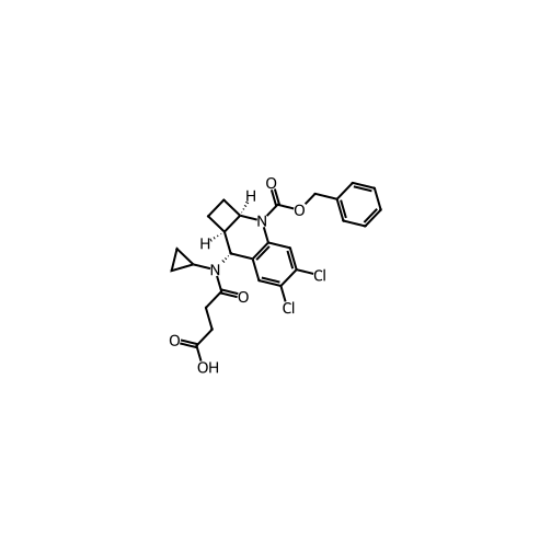 O=C(O)CCC(=O)N(C1CC1)[C@H]1c2cc(Cl)c(Cl)cc2N(C(=O)OCc2ccccc2)[C@@H]2CC[C@@H]21